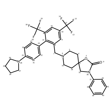 O=C1OC2(CCN(Cc3cc(C(F)(F)F)cc(C(F)(F)F)c3-c3ccc(N4CCCC4)nc3)CC2)CN1c1ccccc1